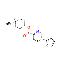 CCC[C@]1(C)CC[C@H](OC(=O)c2ccc(-c3cccs3)cn2)CC1